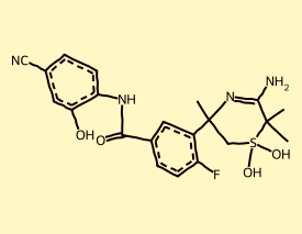 CC1(c2cc(C(=O)Nc3ccc(C#N)cc3O)ccc2F)CS(O)(O)C(C)(C)C(N)=N1